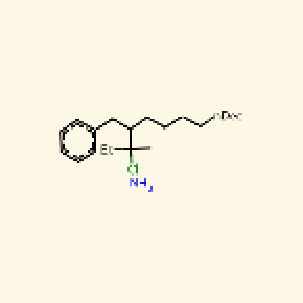 CCCCCCCCCCCCCCC(Cc1ccccc1)C(C)(Cl)CC.N